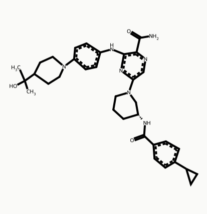 CC(C)(O)C1CCN(c2ccc(Nc3nc(N4CCC[C@@H](NC(=O)c5ccc(C6CC6)cc5)C4)cnc3C(N)=O)cc2)CC1